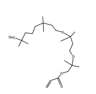 C=CC(=O)OCC(C)(C)OCCC(C)(C)OCCC(C)(C)CCCC(C)(C)C=O